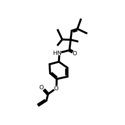 C=CC(=O)OC1=CCC(NC(=O)C(C)(C=C(C)C)C(C)C)C=C1